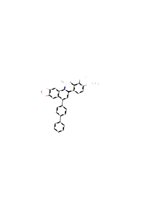 COc1ccc2c(c[n+](C)c3c4cc5c(cc4c(-c4ccc(-c6ccccc6)cc4)cc23)OCO5)c1OC